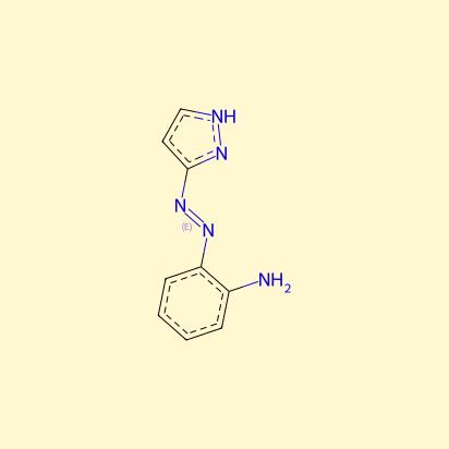 Nc1ccccc1/N=N/c1cc[nH]n1